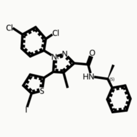 Cc1c(C(=O)N[C@@H](C)c2ccccc2)nn(-c2ccc(Cl)cc2Cl)c1-c1ccc(I)s1